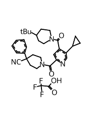 CC(C)(C)C1CCN(C(=O)c2cc(C(=O)N3CCC(C#N)(c4ccccc4)CC3)ncc2C2CC2)CC1.O=C(O)C(F)(F)F